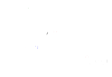 Cc1cc(CC[C@@H]2CN(C(=O)Oc3ccccc3)C[C@H]2C(=O)c2ccc(Cl)cc2)cc(C)c1OC(C)(C)C(=O)O